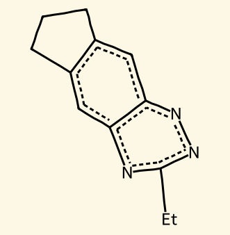 CCc1nnc2cc3c(cc2n1)CCC3